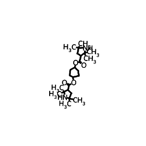 CC1(C)CC(C(=O)OC2CCC(OC(=O)C3CC(C)(C)NC3(C)C)CC2)C(C)(C)N1